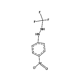 O=[N+]([O-])c1ccc(NNC(F)(F)F)cc1